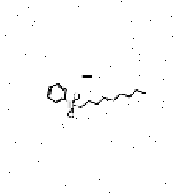 C=C.CCCCCCCC[CH2][Ti](=[O])(=[O])[c]1ccccc1